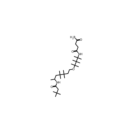 BC(=O)CCC(=O)NC(C)(C)C(C)(C)C(C)(C)OCCC(C)(C)C(C)(C)CC(C)NC(=O)CC(C)(C)C